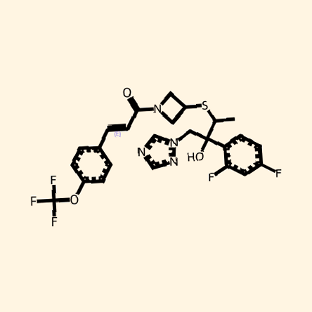 CC(SC1CN(C(=O)/C=C/c2ccc(OC(F)(F)F)cc2)C1)C(O)(Cn1cncn1)c1ccc(F)cc1F